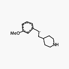 COc1cccc([CH]CC2CCNCC2)c1